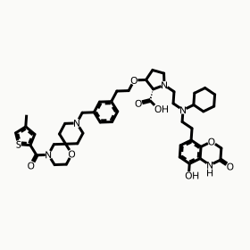 Cc1csc(C(=O)N2CCOC3(CCN(Cc4cccc(CCOC5CCN(CCN(CCc6ccc(O)c7c6OCC(=O)N7)C6CCCCC6)[C@@H]5C(=O)O)c4)CC3)C2)c1